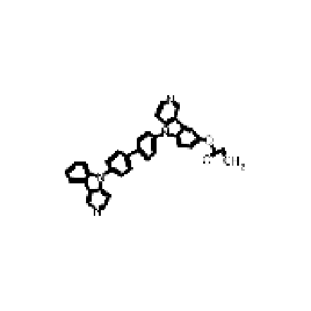 C=CC(=O)Oc1ccc2c(c1)c1cnccc1n2-c1ccc(-c2ccc(-n3c4ccccc4c4cnccc43)cc2)cc1